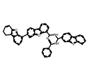 C1=Cc2oc3c(-c4ccc5c(c4)oc4c(C6N=C(c7ccccc7)NC(c7ccc8c(c7)sc7ccccc78)N6)cccc45)cccc3c2CC1